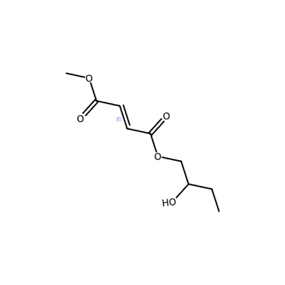 CCC(O)COC(=O)/C=C/C(=O)OC